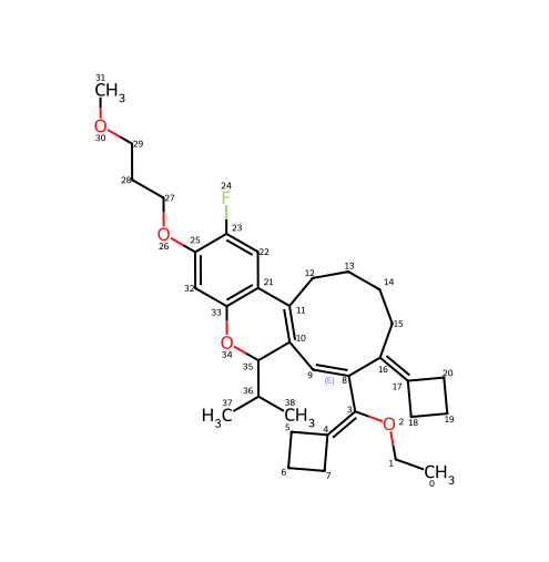 CCOC(=C1CCC1)/C1=C/C2=C(CCCCC1=C1CCC1)c1cc(F)c(OCCCOC)cc1OC2C(C)C